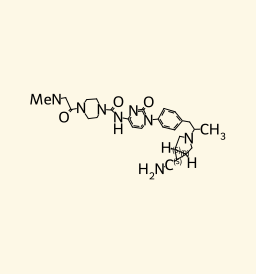 CNCC(=O)N1CCN(C(=O)Nc2ccn(-c3ccc(CC(C)N4C[C@@H]5[C@@H](CN)[C@@H]5C4)cc3)c(=O)n2)CC1